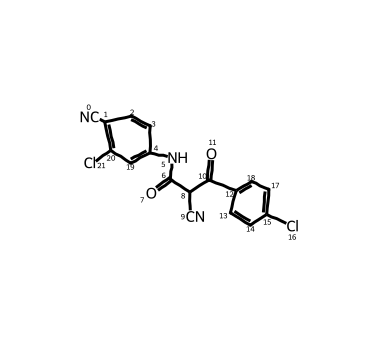 N#Cc1ccc(NC(=O)C(C#N)C(=O)c2ccc(Cl)cc2)cc1Cl